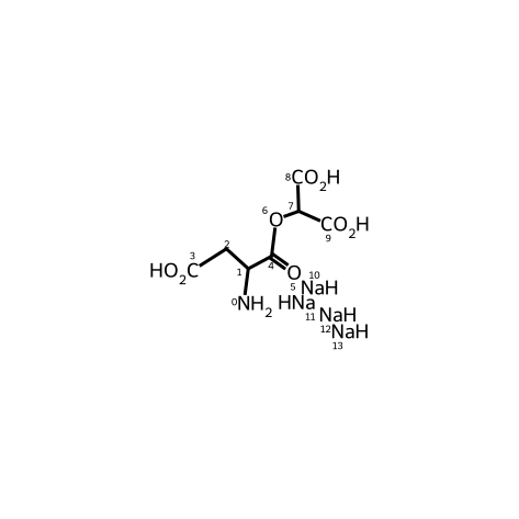 NC(CC(=O)O)C(=O)OC(C(=O)O)C(=O)O.[NaH].[NaH].[NaH].[NaH]